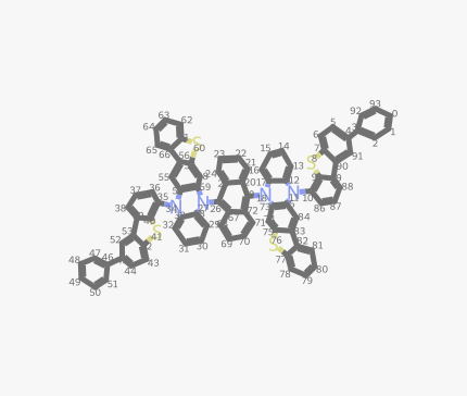 c1ccc(-c2ccc3sc4c(N5c6ccccc6N(c6c7ccccc7c(N7c8ccccc8N(c8cccc9c8sc8ccc(-c%10ccccc%10)cc89)c8cc9c(cc87)sc7ccccc79)c7ccccc67)c6cc7sc8ccccc8c7cc65)cccc4c3c2)cc1